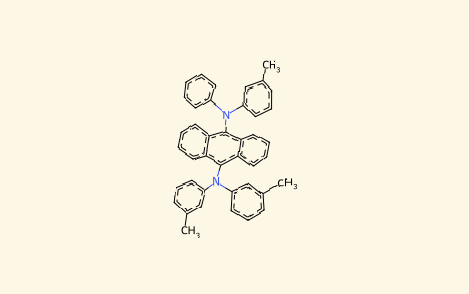 Cc1cccc(N(c2ccccc2)c2c3ccccc3c(N(c3cccc(C)c3)c3cccc(C)c3)c3ccccc23)c1